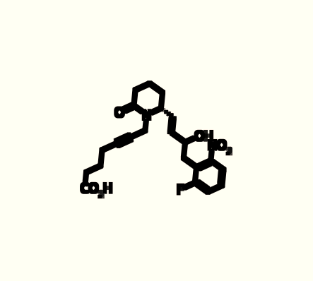 O=C(O)CCCC#CCN1C(=O)CCC[C@@H]1/C=C/C(O)Cc1c(F)cccc1[N+](=O)[O-]